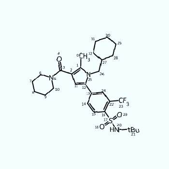 Cc1c(C(=O)N2CCCCC2)cc(-c2ccc(S(=O)(=O)NC(C)(C)C)c(C(F)(F)F)c2)n1CC1CCCCC1